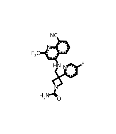 N#Cc1cccc2c(NCC3(c4ccc(F)cn4)CN(C(N)=O)C3)cc(C(F)(F)F)nc12